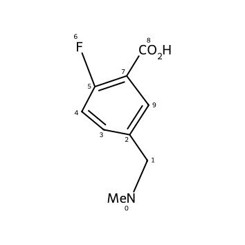 CNCc1ccc(F)c(C(=O)O)c1